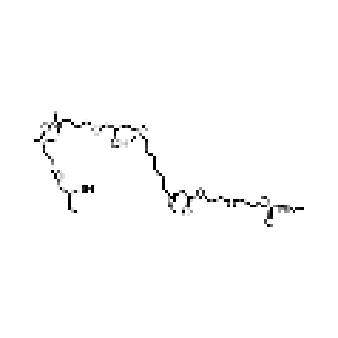 CCC(O)COCCC[Si](C)(C)O[Si](C)(C)CCCOCC(O)C[N+](C)(C)CCCCCCN(CC)CC(=O)OCCOCCOC(=O)CNC